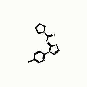 O=C(/N=c1\sccn1-c1ccc(F)cn1)N1CCCC1